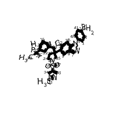 Bc1ccc(-n2ncc3cc(C4(Cc5cccc(C(C)(F)P)c5)CCN(S(=O)(=O)c5cnn(C)c5)C4)c(C)cc32)cc1